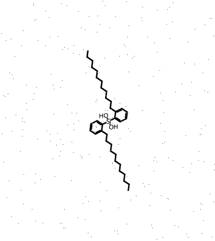 CCCCCCCCCCCCc1ccccc1[Si](O)(O)c1ccccc1CCCCCCCCCCCC